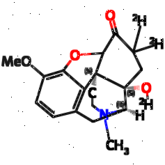 [2H]O[C@@]12CC([2H])([2H])C(=O)C3Oc4c(OC)ccc5c4[C@@]31CCN(C)[C@@H]2C5